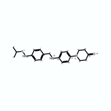 CC(C)SNc1ccc(CNc2ccc(N3CCC(=O)CC3)cc2)cc1